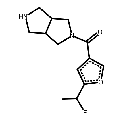 O=C(c1coc(C(F)F)c1)N1CC2CNCC2C1